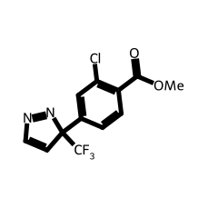 COC(=O)c1ccc(C2(C(F)(F)F)C=CN=N2)cc1Cl